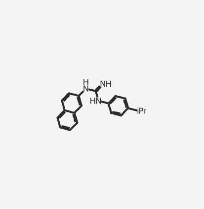 CC(C)c1ccc(NC(=N)Nc2ccc3ccccc3c2)cc1